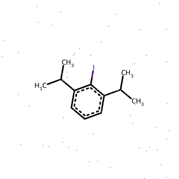 CC(C)c1cccc(C(C)C)c1I